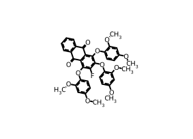 COc1ccc(Oc2c(F)c(Oc3ccc(OC)cc3OC)c3c(c2Oc2ccc(OC)cc2OC)C(=O)c2ccccc2C3=O)c(OC)c1